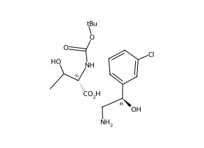 CC(O)[C@H](NC(=O)OC(C)(C)C)C(=O)O.NC[C@H](O)c1cccc(Cl)c1